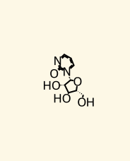 O=c1ncccn1[C@@H]1O[C@H](CO)[C@H](O)[C@@H]1O